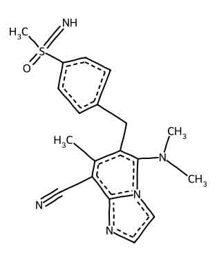 Cc1c(Cc2ccc(S(C)(=N)=O)cc2)c(N(C)C)n2ccnc2c1C#N